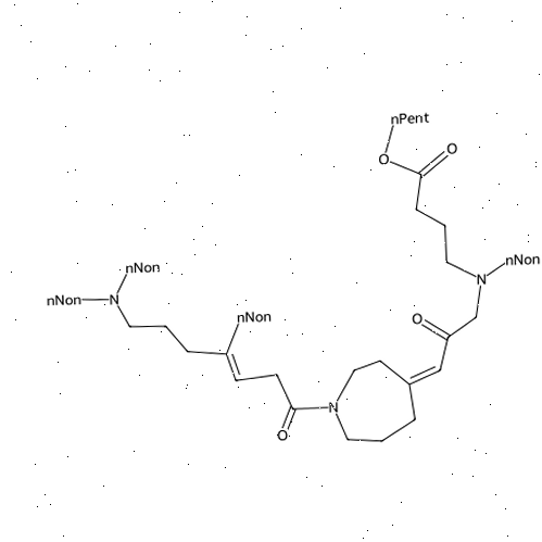 CCCCCCCCC/C(=C\CC(=O)N1CCC/C(=C/C(=O)CN(CCCCCCCCC)CCCC(=O)OCCCCC)CC1)CCCN(CCCCCCCCC)CCCCCCCCC